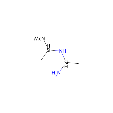 CN[SiH](C)N[SiH](C)N